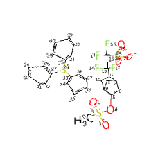 CS(=O)(=O)OC1CC2CC1CC2C(F)(F)C(F)(F)S(=O)(=O)[O-].c1ccc([S+](c2ccccc2)c2ccccc2)cc1